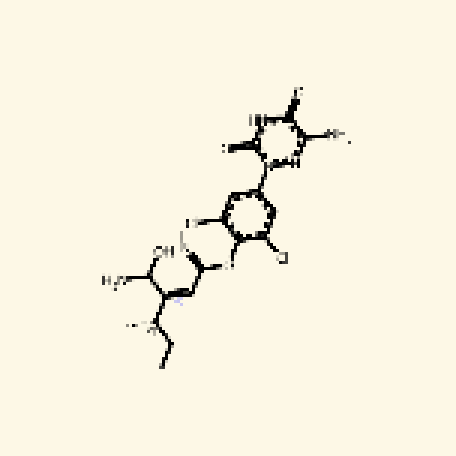 CC[C@H](C)/C(=C/C(=N)Oc1c(Cl)cc(-n2nc(N)c(=O)[nH]c2=O)cc1Cl)C(N)O